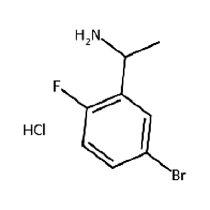 CC(N)c1cc(Br)ccc1F.Cl